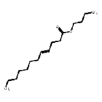 CCCCCCCC=CCCC(=O)OCCCC